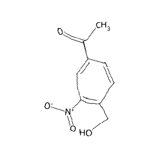 CC(=O)c1ccc(CO)c([N+](=O)[O-])c1